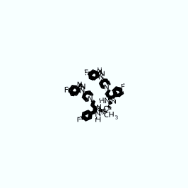 CSc1nc(-c2ccc(F)cc2)c(CCN2CCC(n3nnc4cc(F)ccc43)CC2)[nH]1.CSc1nc(CCN2CCC(n3nnc4cc(F)ccc43)CC2)c(-c2ccc(F)cc2)[nH]1